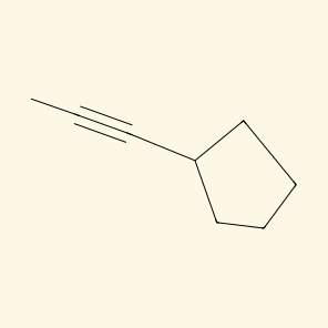 CC#CC1CCCC1